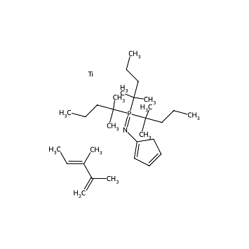 C=C(C)C(C)=CC.CCCC(C)(C)P(=NC1=CC=CC1)(C(C)(C)CCC)C(C)(C)CCC.[Ti]